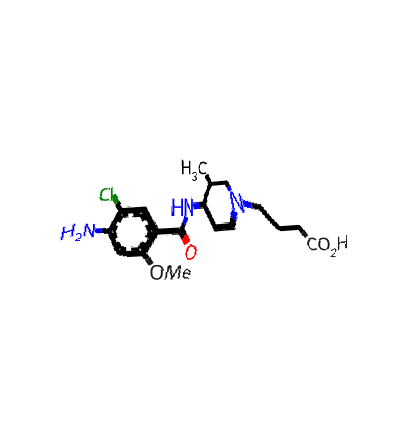 COc1cc(N)c(Cl)cc1C(=O)NC1CCN(CCCC(=O)O)CC1C